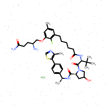 Cc1cc(CCCCCC(=O)N[C@H](C(=O)N2CC(O)C[C@H]2C(=O)N[C@@H](C)c2ccc(-c3scnc3C)cc2)C(C)(C)C)c(F)c(OC[C@@H](N)CCC(N)=O)c1.Cl